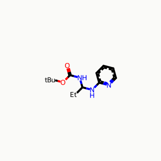 CCC(NC(=O)OC(C)(C)C)Nc1ccccn1